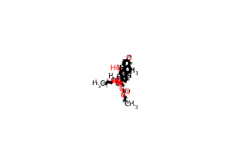 CCCCOC(=O)O[C@]1(C(=O)COC(=O)OCCC)CC[C@H]2[C@@H]3CCC4=CC(=O)C=C[C@]4(C)[C@H]3C(O)C[C@@]21C